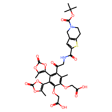 Cc1oc(=O)oc1-c1c(OCC(=O)O)c(OCC(=O)O)c(C)c(C(=O)CNC(=O)c2cc3c(s2)CCN(C(=O)OC(C)(C)C)C3)c1-c1oc(=O)oc1C